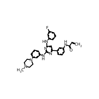 C=CC(=O)Nc1cccc(-c2cc(Nc3cccc(F)c3)nc(Nc3cccc(N4CCN(C)CC4)c3)n2)c1